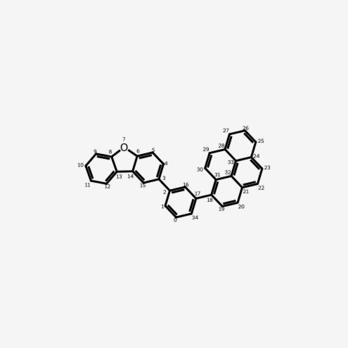 c1cc(-c2ccc3oc4ccccc4c3c2)cc(-c2ccc3ccc4cccc5ccc2c3c45)c1